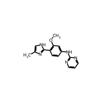 COc1cc(Nc2n[c]ccn2)ccc1-c1nc(C)c[nH]1